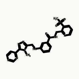 Cn1c(CNc2cccc(C(=O)NCc3ncccc3S(C)(=O)=O)c2)nnc1-c1ccncn1